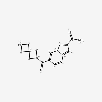 NC(=O)c1cn2cc(C(=O)N3CC4(CNC4)C3)ccc2n1